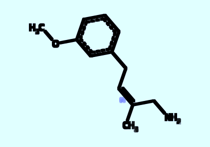 COc1cccc(C/C=C(/C)CN)c1